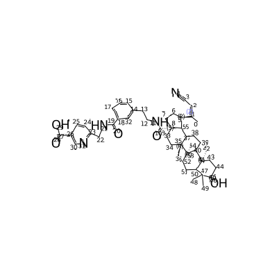 C/C(=C/C#N)[C@@H]1CC[C@]2(C(=O)NCCc3cccc(C(=O)NCc4ccc(C(=O)O)cn4)c3)CC[C@]3(C)C(CCC4[C@@]5(C)CC[C@H](O)C(C)(C)C5CC[C@]43C)C12